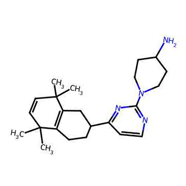 CC1(C)C=CC(C)(C)C2=C1CCC(c1ccnc(N3CCC(N)CC3)n1)C2